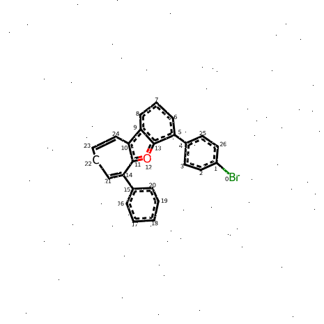 Brc1ccc(-c2cccc3c4c(oc23)C(c2ccccc2)=CCC=C4)cc1